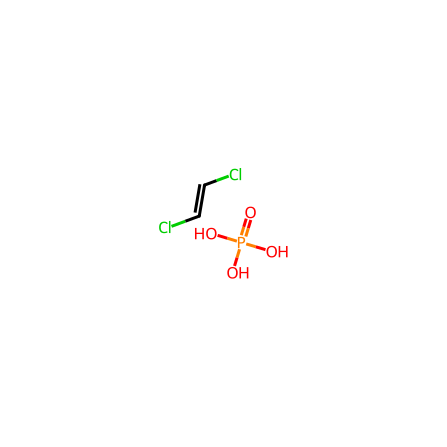 ClC=CCl.O=P(O)(O)O